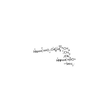 C.C.C.C.C.C.N=C=O.N=C=O.[SnH2]